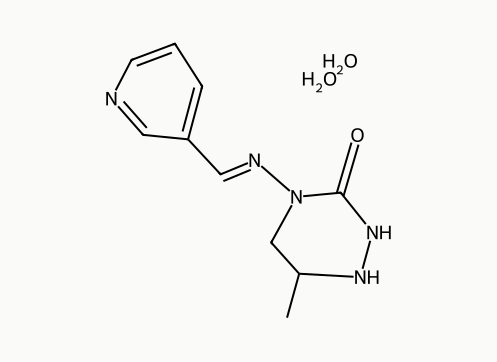 CC1CN(N=Cc2cccnc2)C(=O)NN1.O.O